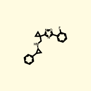 Fc1ccccc1-c1nc(C2(CN[C@H]3CC3c3ccccc3)CC2)no1